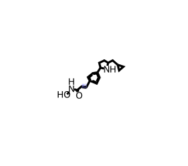 O=C(/C=C/c1ccc(C2CCC(CC3CC3)N2)cc1)NO